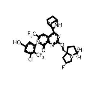 [2H]C1([2H])CC[C@@]2(COc3nc(N4CC5CCC4CN5)c4cc(C(F)(F)F)n(-c5cc(O)cc(Cl)c5C(F)(F)F)c(=O)c4n3)C[C@@H](F)CN12